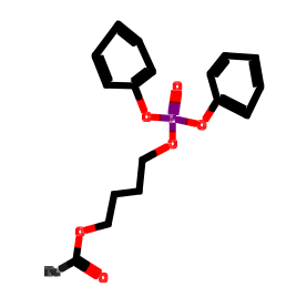 CCC(C)C(=O)OCCCCOP(=O)(Oc1ccccc1)Oc1ccccc1